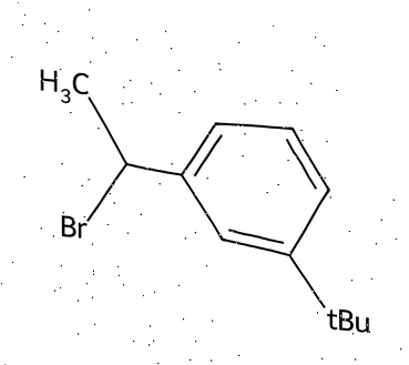 CC(Br)c1cccc(C(C)(C)C)c1